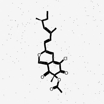 CC[C@H](C)C=C(C)C=CC1=CC2=C(Cl)C(=O)[C@](C)(OC(C)=O)C(=O)C2=CO1